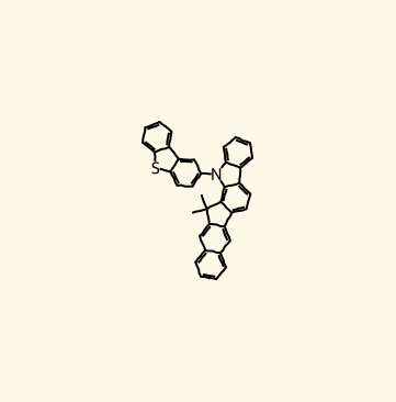 CC1(C)c2cc3ccccc3cc2-c2ccc3c4ccccc4n(-c4ccc5sc6ccccc6c5c4)c3c21